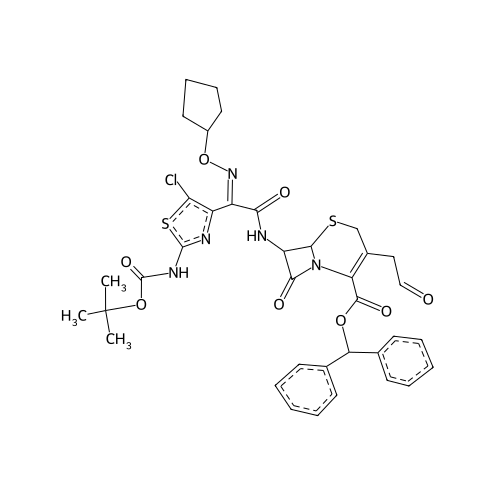 CC(C)(C)OC(=O)Nc1nc(/C(=N\OC2CCCC2)C(=O)NC2C(=O)N3C(C(=O)OC(c4ccccc4)c4ccccc4)=C(CC=O)CSC23)c(Cl)s1